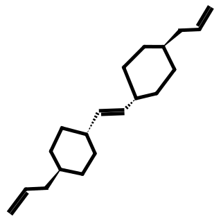 C=CC[C@H]1CC[C@H](/C=C/[C@H]2CC[C@H](CC=C)CC2)CC1